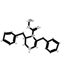 CC(C)(C)OC(=O)N1C(Cc2ccccc2)=COCC1Cc1ccccc1